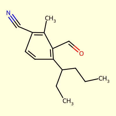 CCCC(CC)c1ccc(C#N)c(C)c1C=O